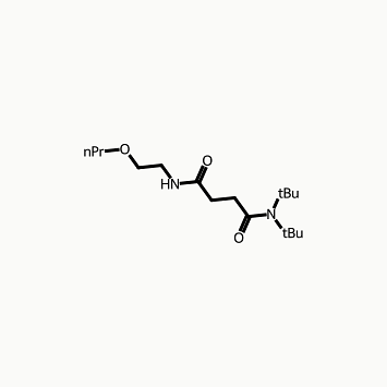 CCCOCCNC(=O)CCC(=O)N(C(C)(C)C)C(C)(C)C